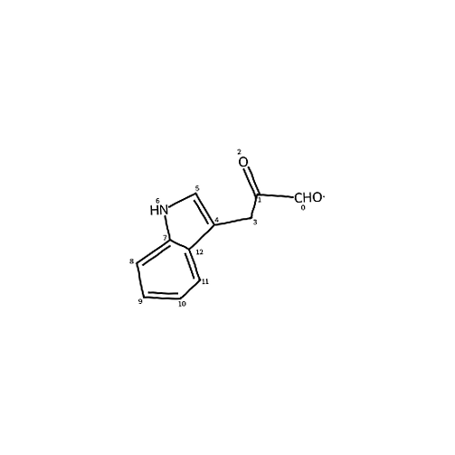 O=[C]C(=O)Cc1c[nH]c2ccccc12